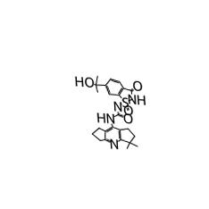 CC(C)(O)c1ccc2c(c1)S(=O)(=NC(=O)Nc1c3c(nc4c1CCC4(C)C)CCC3)NC2=O